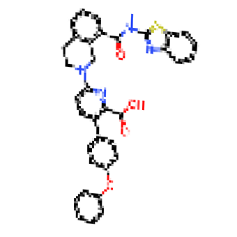 O=C(Nc1nc2ccccc2s1)c1cccc2c1CN(c1ccc(-c3ccc(Oc4ccccc4)cc3)c(C(=O)O)n1)CC2